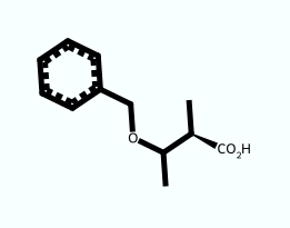 CC(OCc1ccccc1)[C@@H](C)C(=O)O